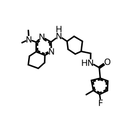 Cc1cc(C(=O)NCC2CCC(Nc3nc4c(c(N(C)C)n3)CCCC4)CC2)ccc1F